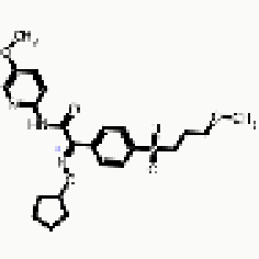 COCCCS(=O)(=O)c1ccc(/C(=N\OC2CCCC2)C(=O)Nc2ccc(OC)cn2)cc1